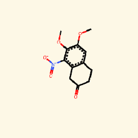 COc1cc2c(c([N+](=O)[O-])c1OC)CC(=O)CC2